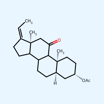 C/C=C1/CCC2C3CC[C@@H]4C[C@@H](OC(C)=O)CC[C@]4(C)C3C(=O)C[C@]12C